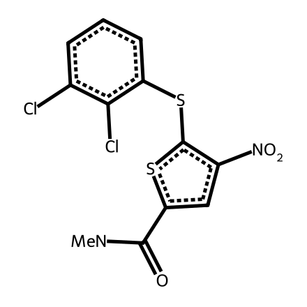 CNC(=O)c1cc([N+](=O)[O-])c(Sc2cccc(Cl)c2Cl)s1